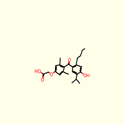 CCCCc1cc(O)c(C(C)C)cc1C(=O)c1c(C)cc(OCC(=O)O)cc1C